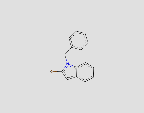 [S]c1[c]c2ccccc2n1Cc1ccccc1